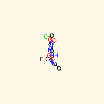 O=C(Nc1ccc(N2CCCN(C(=O)Oc3ccccc3Cl)CC2)nc1)c1oc(N2CCC(c3ccccc3)CC2)nc1C(F)(F)F